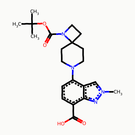 Cn1cc2c(N3CCC4(CC3)CCN4C(=O)OC(C)(C)C)ccc(C(=O)O)c2n1